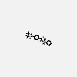 CC1(C)OB(c2ccc(C(=O)NS(=O)(=O)c3ccccc3)cc2)OC1(C)C